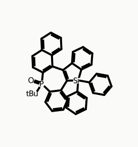 CC(C)(C)P1(=O)c2ccccc2C2=C(c3ccccc3[Si]2(c2ccccc2)c2ccccc2)c2c1ccc1ccccc21